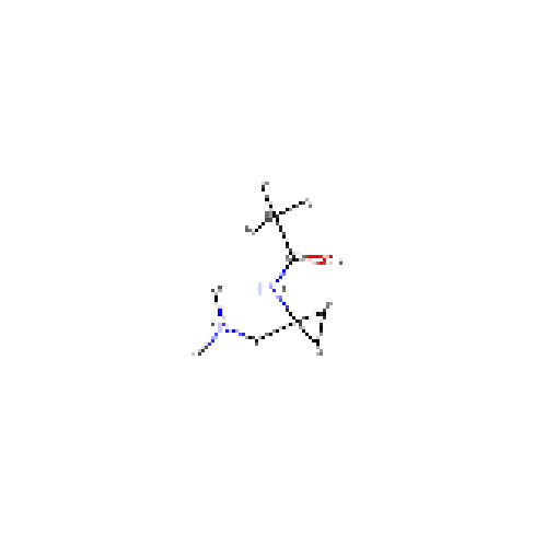 CN(C)CC1(NC(=O)C(C)(C)C)CC1